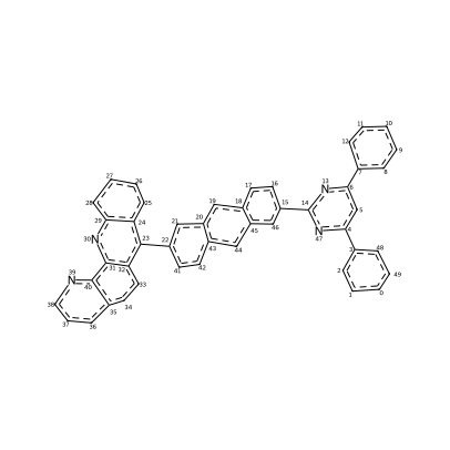 c1ccc(-c2cc(-c3ccccc3)nc(-c3ccc4cc5cc(-c6c7ccccc7nc7c6ccc6cccnc67)ccc5cc4c3)n2)cc1